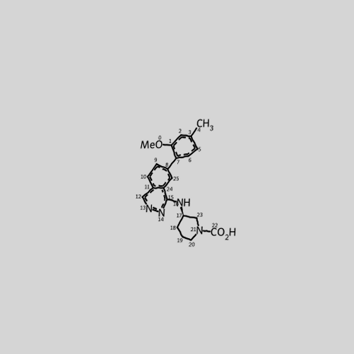 COc1cc(C)ccc1-c1ccc2cnnc(N[C@@H]3CCCN(C(=O)O)C3)c2c1